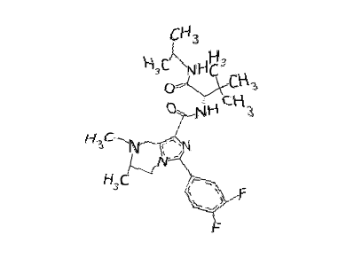 CC(C)NC(=O)[C@@H](NC(=O)c1nc(-c2ccc(F)c(F)c2)n2c1CN(C)C(C)C2)C(C)(C)C